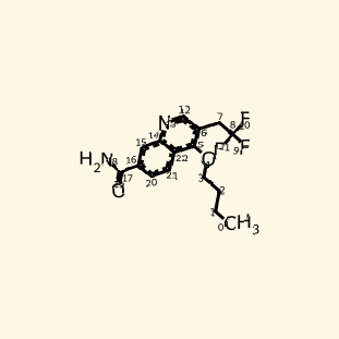 CCCCOc1c(CC(F)(F)F)cnc2cc(C(N)=O)ccc12